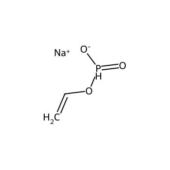 C=CO[PH](=O)[O-].[Na+]